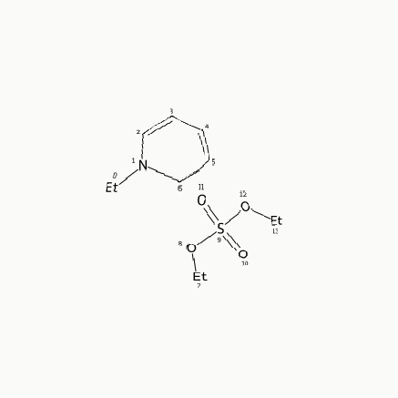 CCN1C=CC=CC1.CCOS(=O)(=O)OCC